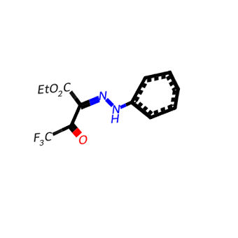 CCOC(=O)C(=NNc1ccccc1)C(=O)C(F)(F)F